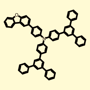 c1ccc(-c2cc(-c3ccccc3)cc(-c3ccc(N(c4ccc(-c5cc(-c6ccccc6)cc(-c6ccccc6)c5)cc4)c4ccc(-c5ccc6oc7ccccc7c6c5)cc4)cc3)c2)cc1